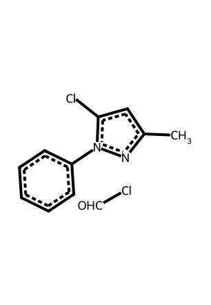 Cc1cc(Cl)n(-c2ccccc2)n1.O=CCl